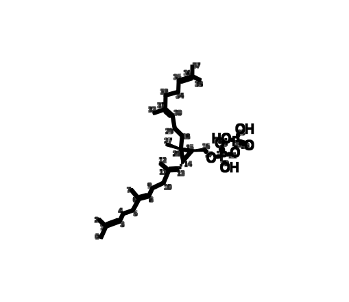 CC(C)=CCC/C(C)=C/CC/C(C)=C/[C@H]1[C@H](COP(=O)(O)OP(=O)(O)O)[C@@]1(C)CC/C=C(\C)CCC=C(C)C